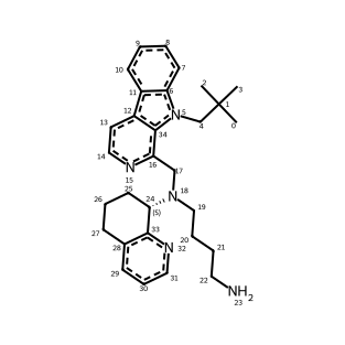 CC(C)(C)Cn1c2ccccc2c2ccnc(CN(CCCCN)[C@H]3CCCc4cccnc43)c21